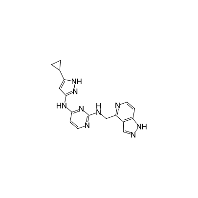 c1cc(Nc2cc(C3CC3)[nH]n2)nc(NCc2nccc3[nH]ncc23)n1